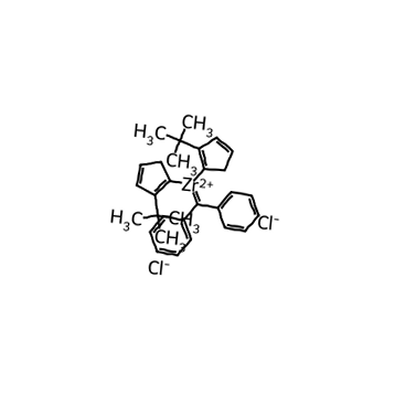 CC(C)(C)C1=[C]([Zr+2]([C]2=C(C(C)(C)C)C=CC2)=[C](c2ccccc2)c2ccccc2)CC=C1.[Cl-].[Cl-]